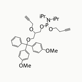 C#CCCOP(OCC(COC(c1ccccc1)(c1ccc(OC)cc1)c1ccc(OC)cc1)OCC#C)N(C(C)C)C(C)C